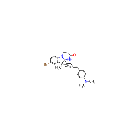 CN(C)c1ccc(C=CC=CC23NC(=O)CCN2c2ccc(Br)cc2C3(C)C)cc1